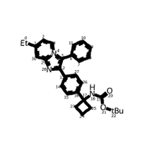 CCc1ccn2c(-c3ccccc3)c(-c3ccc(C4(NC(=O)OC(C)(C)C)CCC4)cc3)nc2c1